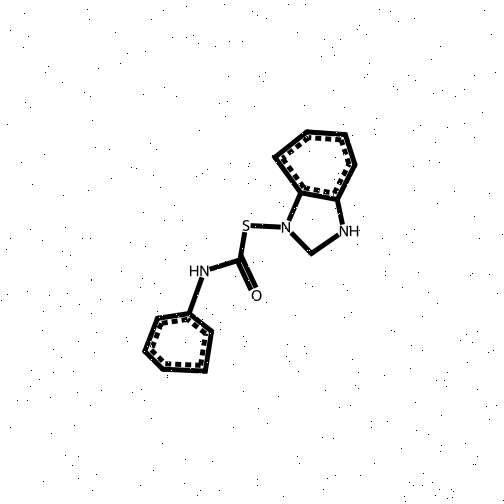 O=C(Nc1ccccc1)SN1CNc2ccccc21